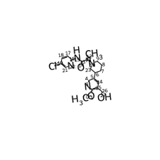 COc1ncc(C2CCCN([C@@H](C)C(=O)Nc3ccc(Cl)cn3)C2)cc1CO